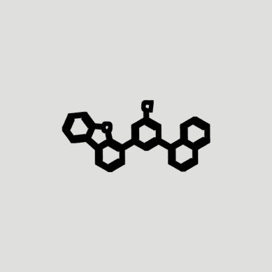 Clc1cc(-c2cccc3ccccc23)cc(-c2cccc3c2oc2ccccc23)c1